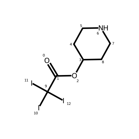 O=C(OC1CCNCC1)C(I)(I)I